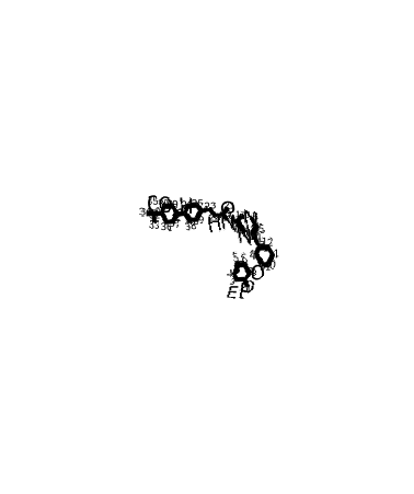 CCOc1ccccc1Oc1cccc(-c2cncc(NC(=O)CCc3ccc(-c4ccc(C(C)(C)C(=O)O)cc4)cc3)n2)c1